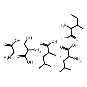 CC(C)CC(N)C(=O)O.CC(C)CC(N)C(=O)O.CCC(C)C(N)C(=O)O.NC(CO)C(=O)O.NCC(=O)O